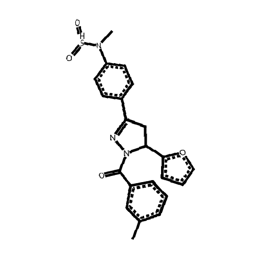 Cc1cccc(C(=O)N2N=C(c3ccc(N(C)[SH](=O)=O)cc3)CC2c2ccco2)c1